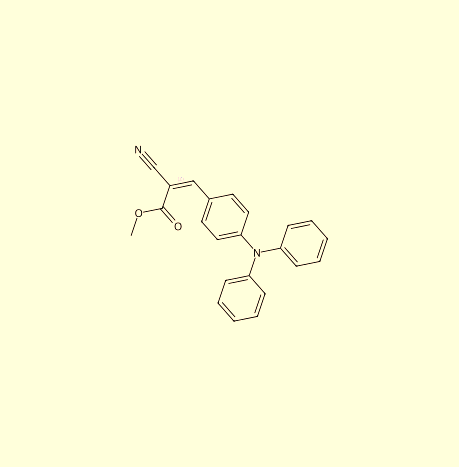 COC(=O)/C(C#N)=C\c1ccc(N(c2ccccc2)c2ccccc2)cc1